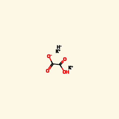 O=C([O-])C(=O)O.[H-].[K+].[K+]